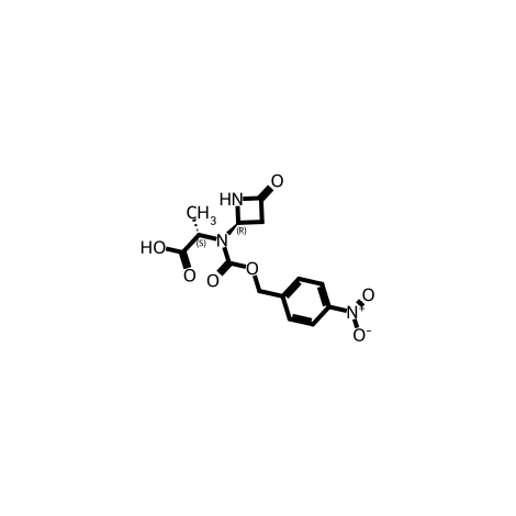 C[C@@H](C(=O)O)N(C(=O)OCc1ccc([N+](=O)[O-])cc1)[C@@H]1CC(=O)N1